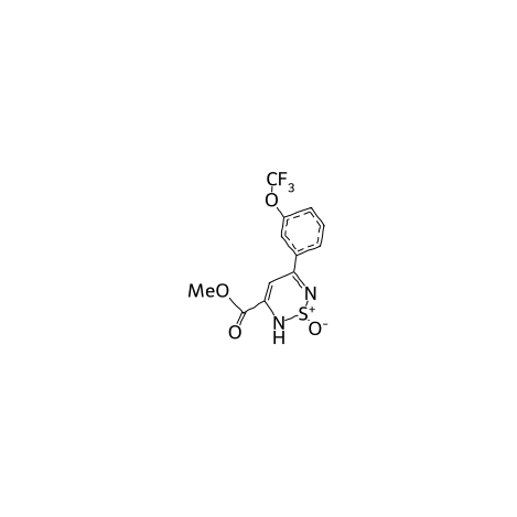 COC(=O)C1=CC(c2cccc(OC(F)(F)F)c2)=N[S+]([O-])N1